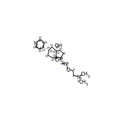 CN(C)CCO/N=C/[C@H]1CC[C@]2(O)C[C@@H](c3ccncc3)CC[C@]12C